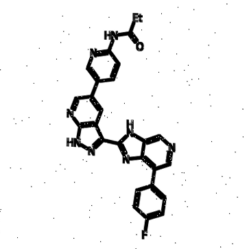 CCC(=O)Nc1ccc(-c2cnc3[nH]nc(-c4nc5c(-c6ccc(F)cc6)cncc5[nH]4)c3c2)cn1